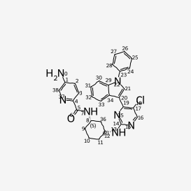 Nc1ccc(C(=O)N[C@H]2CCC[C@@H](Nc3ncc(Cl)c(-c4cn(-c5ccccc5)c5ccccc45)n3)C2)nc1